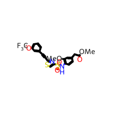 COC(=O)Cc1ccc(NS(=O)(=O)c2csc(C#Cc3cccc(OC(F)(F)F)c3)n2)c(OC)c1